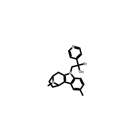 CCC(O)(Cn1c2c(c3cc(C)ccc31)C1CCC(C2)N1C)c1ccncc1